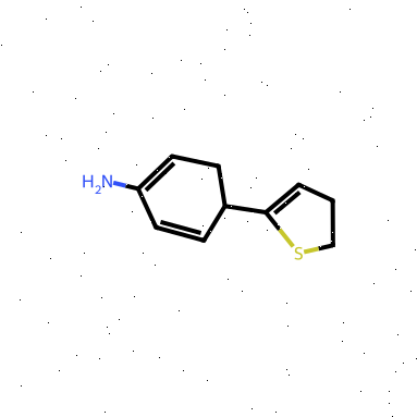 NC1=CCC(C2=CCCS2)C=C1